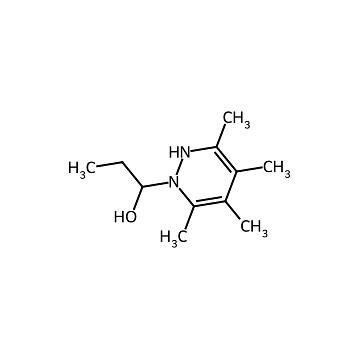 CCC(O)N1NC(C)=C(C)C(C)=C1C